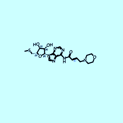 CSC[C@H]1O[C@@H](n2cnc3c(NC(=O)/C=C/CN4CCOCC4)ncnc32)[C@H](O)[C@@H]1O